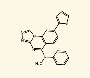 CN(c1ccccc1)c1nc2nncn2c2cc(-c3cccs3)ccc12